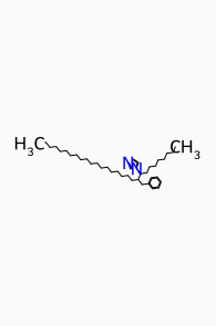 CCCCCCCCCCCCCCCCCCCC(Cc1ccccc1)C(CCCCCCCC)n1ccnc1